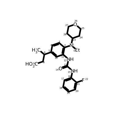 CCN(c1ccc(C(C)CC(=O)O)cc1NC(=O)Nc1ccccc1F)C1CCOCC1